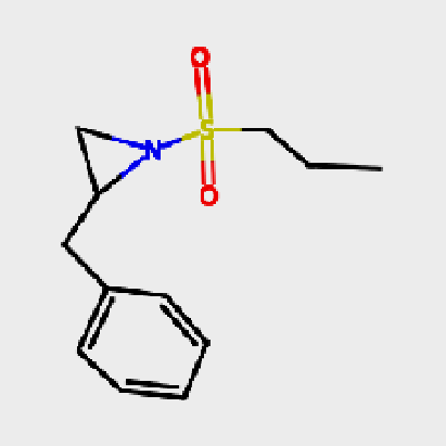 CCCS(=O)(=O)N1CC1Cc1ccccc1